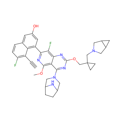 C#Cc1c(F)ccc2cc(O)cc(-c3nc(OC)c4c(N5CC6CCC(C5)N6)nc(OCC5(CN6CC7CC7C6)CC5)nc4c3F)c12